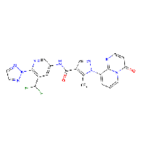 O=C(Nc1cnc(-n2nccn2)c(C(F)F)c1)c1cnn(-c2cccn3c(=O)ccnc23)c1C(F)(F)F